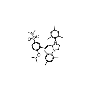 Cc1cc(C)c(N2CCN(c3c(C)cc(C)cc3C)C2/C=C/c2cc(S(=O)(=O)N(C)C)ccc2OC(C)C)c(C)c1